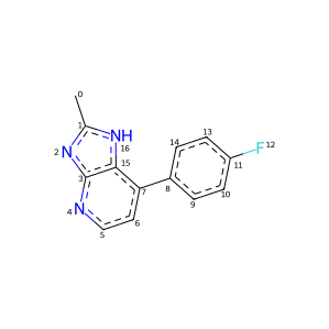 Cc1nc2nccc(-c3ccc(F)cc3)c2[nH]1